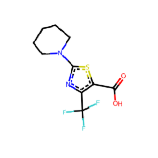 O=C(O)c1sc(N2CCCCC2)nc1C(F)(F)F